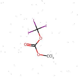 O=C(OC(Cl)(Cl)Cl)OC(I)(I)I